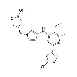 CCc1c(C)nc(-c2ccc(Cl)s2)nc1Nc1ccn(C[C@H]2COB(O)C2)c1